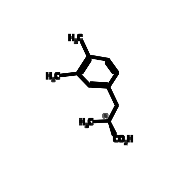 Cc1ccc(C[C@H](C)C(=O)O)cc1C